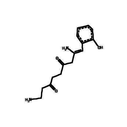 NCCC(=O)CCC(=O)CC(N)=Cc1ccccc1O